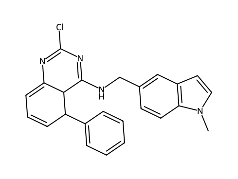 Cn1ccc2cc(CNC3=NC(Cl)=NC4=CC=CC(c5ccccc5)C43)ccc21